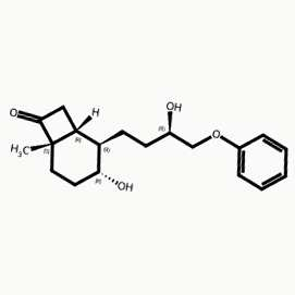 C[C@]12CC[C@@H](O)[C@H](CC[C@@H](O)COc3ccccc3)[C@H]1CC2=O